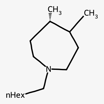 CCCCCCCN1CCC(C)[C@@H](C)CC1